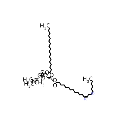 CCCCC/C=C\C/C=C\CCCCCCCCCCCC(=O)OC[C@H](COP(=O)([O-])OCC[N+](C)(C)C)OC(=O)CCCCCCCCCCCCCCCCCC